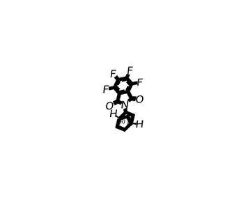 O=C1c2c(F)c(F)c(F)c(F)c2C(=O)N1C1C[C@@H]2CC[C@@H]1C2